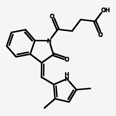 Cc1cc(C)c(/C=C2\C(=O)N(C(=O)CCC(=O)O)c3ccccc32)[nH]1